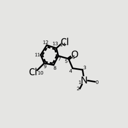 CN(C)CCC(=O)c1cc(Cl)ccc1Cl